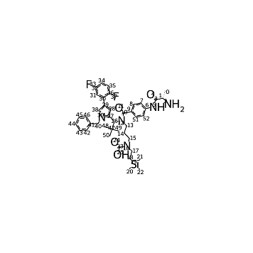 C[C@H](N)C(=O)Nc1ccc(C(=O)N(CCCN(CC[Si](C)(C)C)C(=O)O)[C@@H](c2cc(-c3cc(F)ccc3F)cn2Cc2ccccc2)C(C)(C)C)cc1